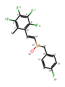 Cc1c(F)c(F)c(F)c(F)c1C=C[S+]([O-])Cc1ccc(F)cc1